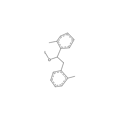 Cc1ccccc1CC(OI)c1ccccc1C